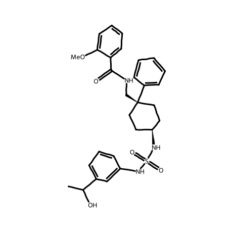 COc1ccccc1C(=O)NC[C@]1(c2ccccc2)CC[C@H](NS(=O)(=O)Nc2cccc(C(C)O)c2)CC1